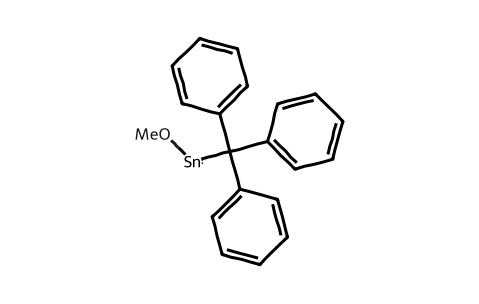 C[O][Sn][C](c1ccccc1)(c1ccccc1)c1ccccc1